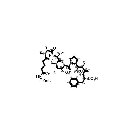 CCCCCNC(=O)CCCC(=O)N(C)[C@@H](C)C(=O)N[C@H](C(=O)N(C)[C@@H](C)[C@@H](CC(=O)N1CCCC1[C@H](OC)[C@@H](C)C(=O)N[C@@H](Cc1ccccc1)C(=O)O)OC)C(C)C